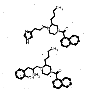 CCCCC1CN(C(=O)c2cccc3ccccc23)CCN1CC(N)Cc1ccccc1O.CCCCC1CN(C(=O)c2cccc3ccccc23)CCN1CCCc1c[nH]cn1